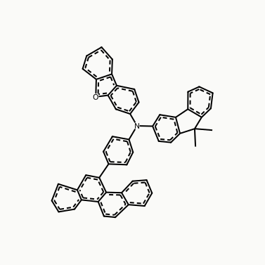 CC1(C)c2ccccc2-c2cc(N(c3ccc(-c4cc5ccccc5c5ccc6ccccc6c45)cc3)c3ccc4c(c3)oc3ccccc34)ccc21